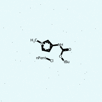 CCCCCCl.Cn1ccc(NC(=O)OC(C)(C)C)c1